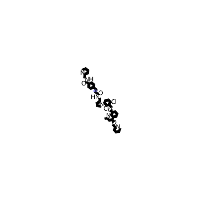 Cc1cc(OCc2ccccn2)c2cccc(OCc3c(Cl)ccc(-n4cccc4CNC(=O)/C=C/c4ccc(C(=O)NCc5ccccn5)cc4)c3Cl)c2n1